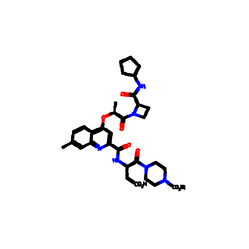 CCOC(=O)N1CCN(C(=O)C(CC(=O)O)NC(=O)c2cc(O[C@@H](C)C(=O)N3CCC3C(=O)NC3CCCC3)c3ccc(C)cc3n2)CC1